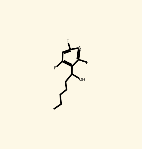 CCCCCC(O)c1c(F)cc(F)nc1F